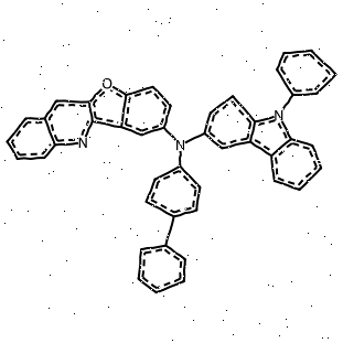 c1ccc(-c2ccc(N(c3ccc4oc5cc6ccccc6nc5c4c3)c3ccc4c(c3)c3ccccc3n4-c3ccccc3)cc2)cc1